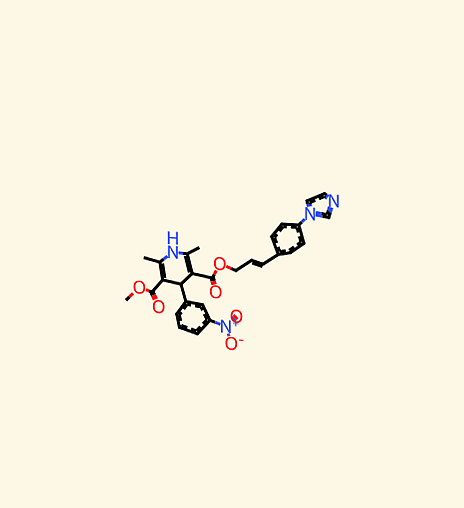 COC(=O)C1=C(C)NC(C)=C(C(=O)OC/C=C/c2ccc(-n3ccnc3)cc2)C1c1cccc([N+](=O)[O-])c1